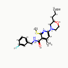 CCSc1nc(N2CCOC(CCOC)C2)cc(C)c1C(=O)NCc1cccc(F)c1